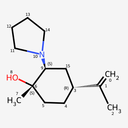 C=C(C)[C@@H]1CC[C@](C)(O)[C@@H](N2CCCC2)C1